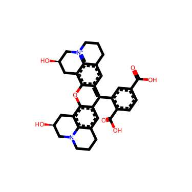 O=C(O)c1ccc(C(=O)O)c(C2=c3cc4c5c(c3Oc3c2cc2c6c3C[C@H](O)CN6CCC2)C[C@@H](O)C[N+]=5CCC4)c1